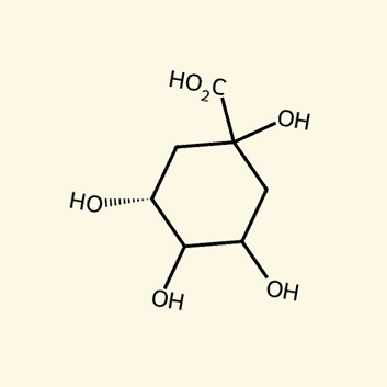 O=C(O)C1(O)CC(O)C(O)[C@H](O)C1